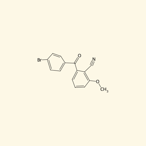 COc1cccc(C(=O)c2ccc(Br)cc2)c1C#N